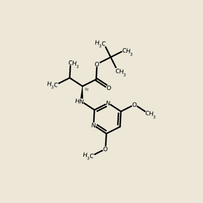 COc1cc(OC)nc(N[C@H](C(=O)OC(C)(C)C)C(C)C)n1